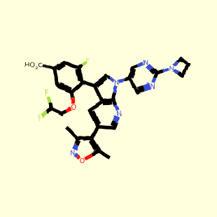 Cc1noc(C)c1-c1cnc2c(c1)c(-c1c(F)cc(C(=O)O)cc1OCC(F)F)cn2-c1cnc(N2CCC2)nc1